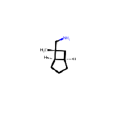 C[C@@]1(CN)C[C@H]2CCC[C@H]21